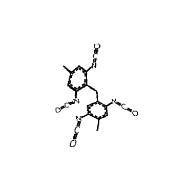 Cc1cc(N=C=O)c(Cc2cc(N=C=O)c(C)cc2N=C=O)c(N=C=O)c1